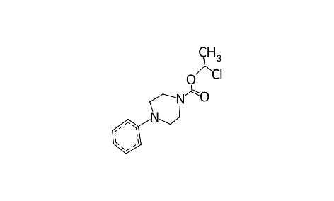 CC(Cl)OC(=O)N1CCN(c2ccccc2)CC1